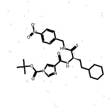 CC(C)(C)OC(=O)n1cnc(C(=O)N[C@H](CCC2CCCCC2)C(=S)NCc2ccc([N+](=O)[O-])cc2)c1